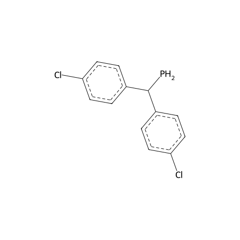 PC(c1ccc(Cl)cc1)c1ccc(Cl)cc1